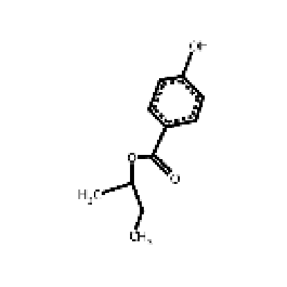 CCC(C)OC(=O)c1ccc(O)cc1